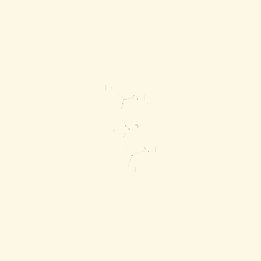 CC(N)O[N+](=O)OC(C)N.[Cu]